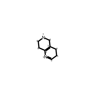 C1=NC2=C(CC1)C[N]CC2